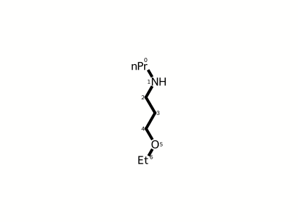 CCCNCCCOCC